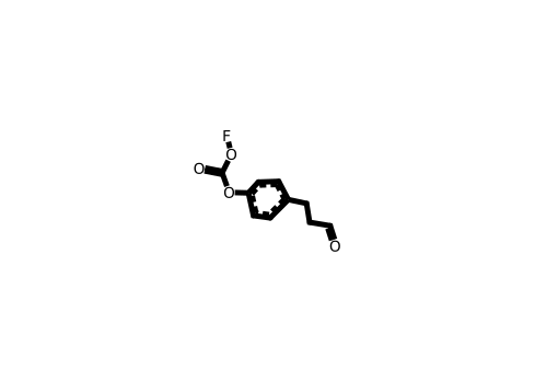 O=CCCc1ccc(OC(=O)OF)cc1